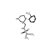 Cc1ccccc1[C@H]1CCNC[C@@H]1CNS(=O)(=O)N(C)C